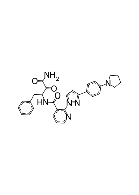 NC(=O)C(=O)C(Cc1ccccc1)NC(=O)c1cccnc1-n1ccc(-c2ccc(N3CCCC3)cc2)n1